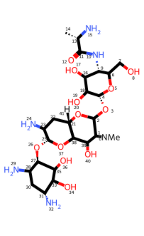 CNC1C(O[C@H]2OC(CO)[C@@H](NC(=O)[C@H](C)N)C(O)C2O)O[C@H]2CC(N)[C@@H](O[C@@H]3C(N)C[C@@H](N)C(O)C3O)OC2C1O